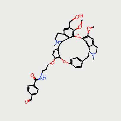 COc1cc2c3cc1Oc1c(OC)c(CO)cc4c1C(Cc1ccc(OCCCNC(=O)c5ccc(C=O)cc5)c(c1)Oc1ccc(cc1)CC3N(C)CC2)N(C)CC4